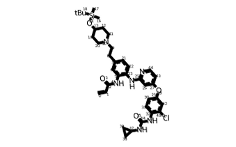 C=CC(=O)Nc1cc(CCN2CCC(O[Si](C)(C)C(C)(C)C)CC2)ccc1Nc1cc(Oc2ccc(NC(=O)NC3CC3)c(Cl)c2)ccn1